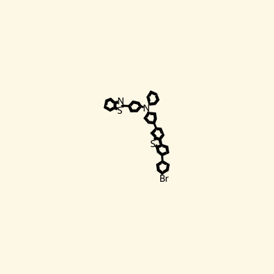 Brc1ccc(-c2ccc3c(c2)sc2cc(-c4ccc(N(c5ccccc5)c5ccc(-c6nc7ccccc7s6)cc5)cc4)ccc23)cc1